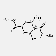 CC(C)C1CN(C(=O)OC(C)(C)C)C[C@H](C(=O)O)N1C(=O)OC(C)(C)C